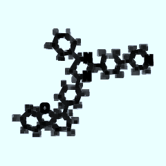 c1ccc(-c2cc(-c3ccc(-c4cccc5c4oc4ccccc45)cc3)nc(-c3ccc(-c4ccncc4)cc3)n2)cc1